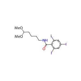 COC(CCCCNC(=O)c1c(I)cc(I)cc1I)OC